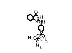 CC(C)(C)OC(=O)N1CCC(Nc2nc3c(c(=O)[nH]2)CCCC3)CC1